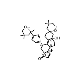 CC1(C)COOC2(CCC3=C4[C@@H](CC[C@@]3(O)C2)[C@@H]2C=CC(=O)[C@@]2(C)C[C@@H]4c2ccc(C3(C)CC(C)(C)COO3)cc2)C1